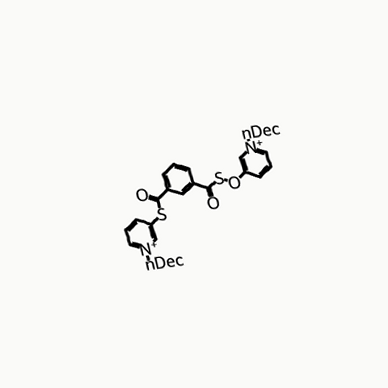 CCCCCCCCCC[n+]1cccc(OSC(=O)c2cccc(C(=O)Sc3ccc[n+](CCCCCCCCCC)c3)c2)c1